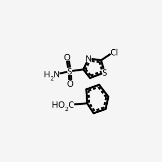 NS(=O)(=O)c1csc(Cl)n1.O=C(O)c1ccccc1